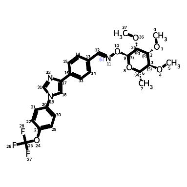 CO[C@@H]1[C@@H](OC)[C@H](C)O[C@@H](O/N=C/c2ccc(-c3cn(-c4ccc(OC(F)(F)F)cc4)cn3)cc2)[C@@H]1OC